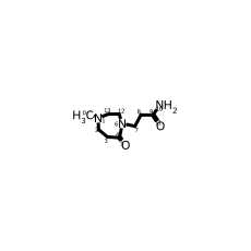 CN1CCC(=O)N(CCC(N)=O)CC1